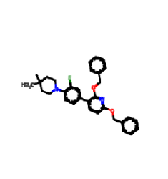 CC1(C(=O)O)CCN(c2ccc(-c3ccc(OCc4ccccc4)nc3OCc3ccccc3)cc2F)CC1